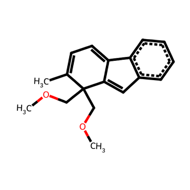 COCC1(COC)C(C)=CC=C2C1=Cc1ccccc12